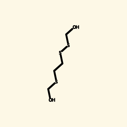 OCSCCSSCO